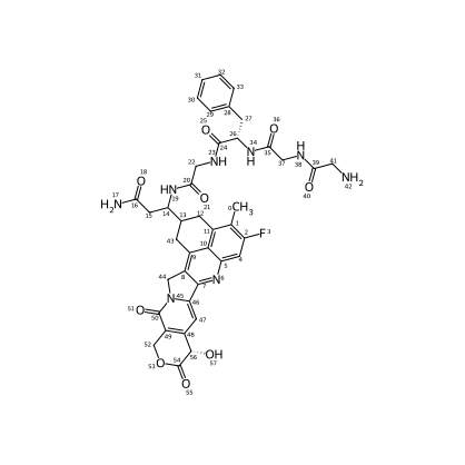 Cc1c(F)cc2nc3c(c4c2c1CC(C(CC(N)=O)NC(=O)CNC(=O)[C@H](Cc1ccccc1)NC(=O)CNC(=O)CN)C4)Cn1c-3cc2c(c1=O)COC(=O)[C@H]2O